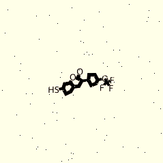 O=c1oc2cc(S)ccc2cc1-c1ccc(OC(F)(F)F)cc1